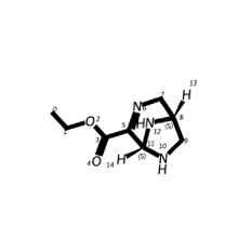 CCOC(=O)C1=NC[C@@H]2CN[C@H]1N2